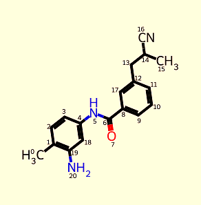 Cc1ccc(NC(=O)c2cccc(CC(C)C#N)c2)cc1N